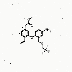 C=Cc1ccc(CC(=O)OC)cc1Oc1ccc(N)cc1CSCC(F)(F)F